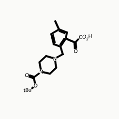 Cc1ccc(CN2CCN(C(=O)OC(C)(C)C)CC2)c(C(=O)C(=O)O)c1